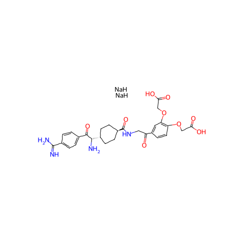 N=C(N)c1ccc(C(=O)C(N)[C@H]2CC[C@H](C(=O)NCC(=O)c3ccc(OCC(=O)O)c(OCC(=O)O)c3)CC2)cc1.[NaH].[NaH]